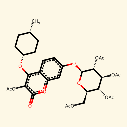 CC(=O)OC[C@H]1O[C@@H](Oc2ccc3c(O[C@H]4CC[C@@H](C)CC4)c(OC(C)=O)c(=O)oc3c2)[C@H](OC(C)=O)[C@@H](OC(C)=O)[C@@H]1OC(C)=O